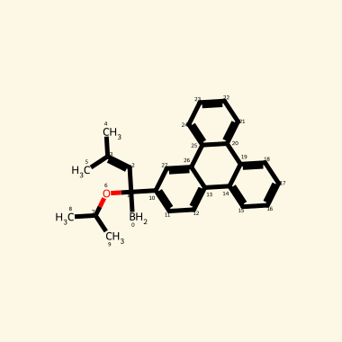 BC(C=C(C)C)(OC(C)C)c1ccc2c3ccccc3c3ccccc3c2c1